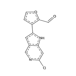 O=Cc1occc1-c1cc2cnc(Cl)cc2[nH]1